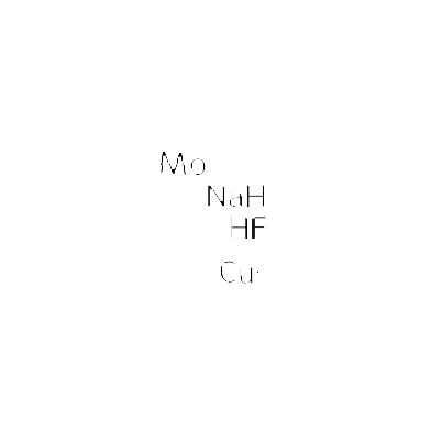 F.[Cu].[Mo].[NaH]